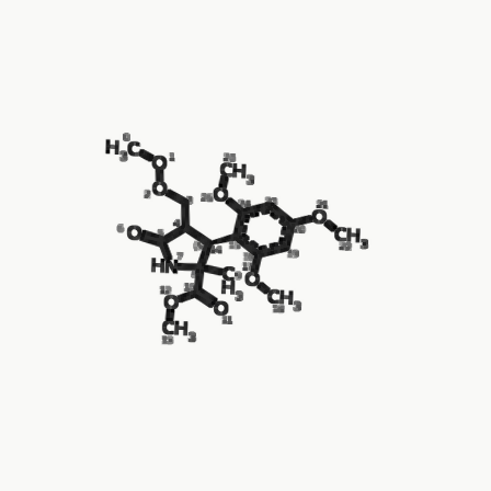 COOCC1C(=O)NC(C)(C(=O)OC)[C@@H]1c1c(OC)cc(OC)cc1OC